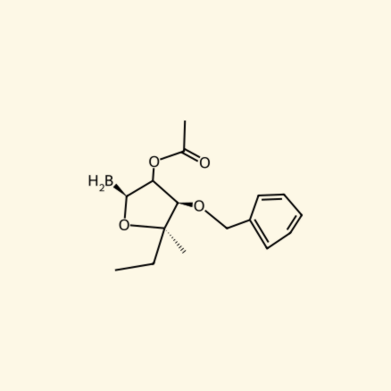 B[C@@H]1O[C@](C)(CC)[C@H](OCc2ccccc2)C1OC(C)=O